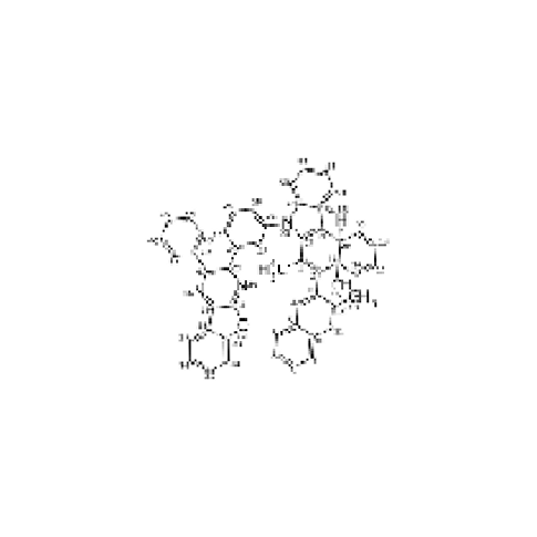 CC1=C(c2cc3ccccc3cc2C)C2(C)C=CC=C[C@H]2c2c1n(-c1cccc(-c3nc4oc5ccccc5c4nc3-c3ccccc3)c1)c1ccccc21